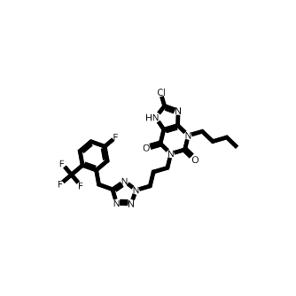 CCCCn1c(=O)n(CCCn2nnc(Cc3cc(F)ccc3C(F)(F)F)n2)c(=O)c2[nH]c(Cl)nc21